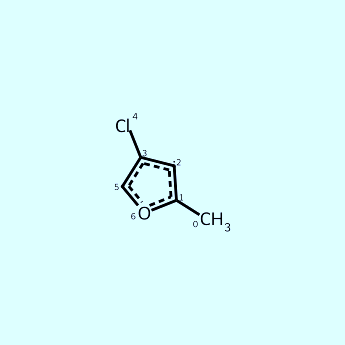 Cc1[c]c(Cl)co1